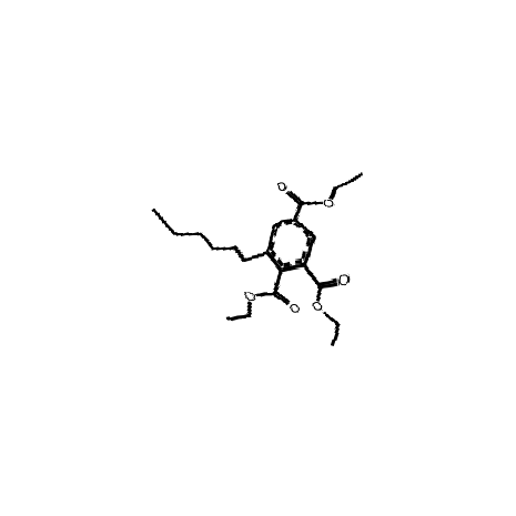 CCCCCCc1cc(C(=O)OCC)cc(C(=O)OCC)c1C(=O)OCC